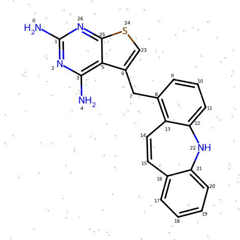 Nc1nc(N)c2c(Cc3cccc4c3C=Cc3ccccc3N4)csc2n1